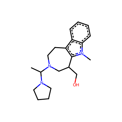 CC(N1CCCC1)N1CCc2c(n(C)c3ccccc23)C(CO)C1